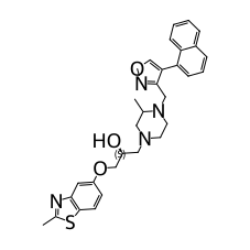 Cc1nc2cc(OC[C@@H](O)CN3CCN(Cc4nocc4-c4cccc5ccccc45)C(C)C3)ccc2s1